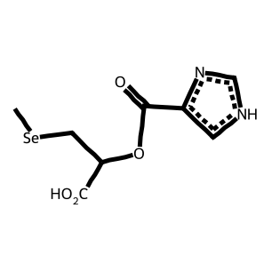 C[Se]CC(OC(=O)c1c[nH]cn1)C(=O)O